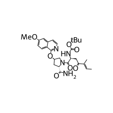 C/C=C(\C)C(=O)C[C@H](NC(=O)OC(C)(C)C)C(=O)N1C[C@H](Oc2nccc3cc(OC)ccc23)C[C@H]1C(N)=O